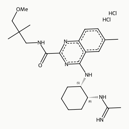 COCC(C)(C)CNC(=O)c1nc(N[C@H]2CCCC[C@H]2NC(C)=N)c2cc(C)ccc2n1.Cl.Cl